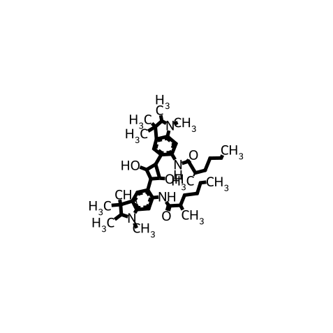 CCCCC(C)C(=O)Nc1cc2c(cc1C1C(O)C(c3cc4c(cc3NC(=O)[C@@H](C)CCCC)N(C)C(C)C4(C)C)C1O)C(C)(C)C(C)N2C